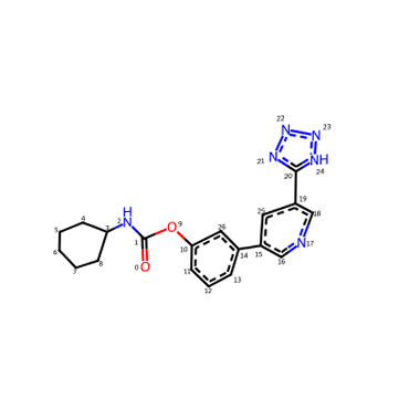 O=C(NC1CCCCC1)Oc1cccc(-c2cncc(-c3nnn[nH]3)c2)c1